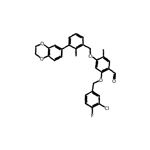 Cc1cc(C=O)c(OCc2ccc(F)c(Cl)c2)cc1OCc1cccc(-c2ccc3c(c2)OCCO3)c1C